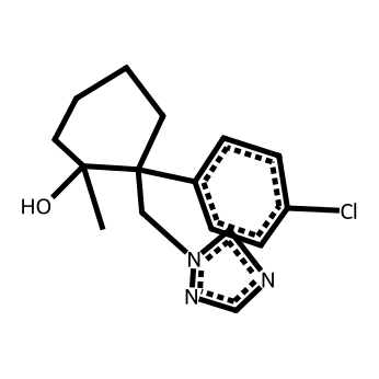 CC1(O)CCCCC1(Cn1cncn1)c1ccc(Cl)cc1